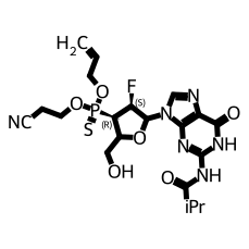 C=CCOP(=S)(OCCC#N)[C@@H]1C(CO)OC(n2cnc3c(=O)[nH]c(NC(=O)C(C)C)nc32)[C@@H]1F